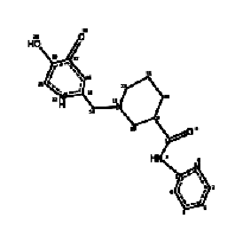 O=C(Nc1ccccn1)C1CCCN(Cc2cc(=O)c(O)c[nH]2)C1